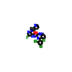 CN(Cc1cccnc1)c1ncc(F)cc1C(=O)NC1N=C(c2c(Cl)cc(Cl)cc2Cl)c2ccccc2NC1=O